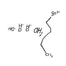 CCC[CH2][Sn+3].O.[OH-].[OH-].[OH-]